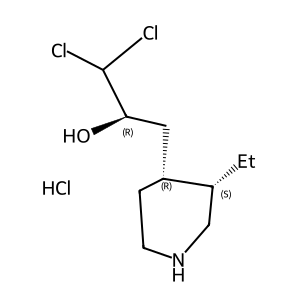 CC[C@@H]1CNCC[C@@H]1C[C@@H](O)C(Cl)Cl.Cl